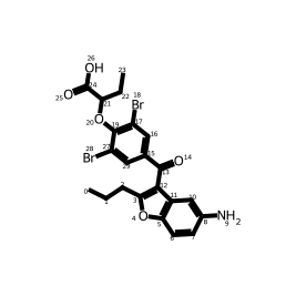 CCCc1oc2ccc(N)cc2c1C(=O)c1cc(Br)c(OC(CC)C(=O)O)c(Br)c1